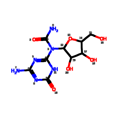 NC(=O)N(c1nc(N)nc(=O)[nH]1)C1OC(CO)C(O)C1O